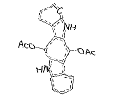 CC(=O)Oc1c2[nH]c3ccccc3c2c(OC(C)=O)c2[nH]c3ccccc3c12